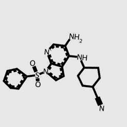 N#CC1CCC(Nc2c(N)cnc3c2ccn3S(=O)(=O)c2ccccc2)CC1